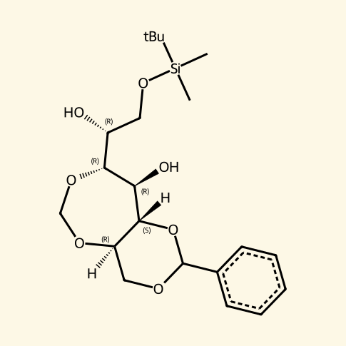 CC(C)(C)[Si](C)(C)OC[C@@H](O)[C@H]1OCO[C@@H]2COC(c3ccccc3)O[C@H]2[C@@H]1O